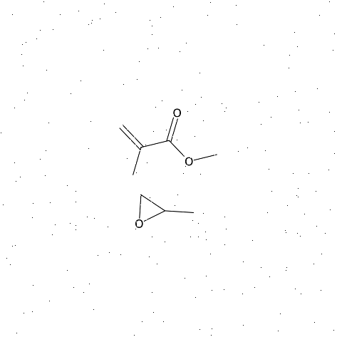 C=C(C)C(=O)OC.CC1CO1